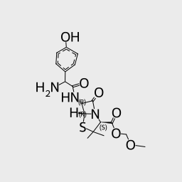 COCOC(=O)[C@@H]1N2C(=O)[C@@H](NC(=O)C(N)c3ccc(O)cc3)[C@H]2SC1(C)C